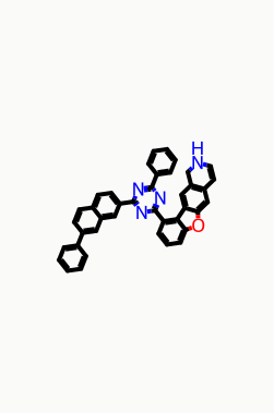 C1=Cc2cc3oc4cccc(-c5nc(-c6ccccc6)nc(-c6ccc7ccc(-c8ccccc8)cc7c6)n5)c4c3cc2CN1